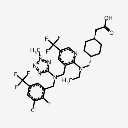 CCN(C[C@H]1CC[C@H](CC(=O)O)CC1)c1ncc(C(F)(F)F)cc1CN(Cc1cc(C(F)(F)F)cc(Cl)c1F)c1nnn(C)n1